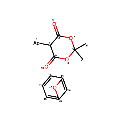 CC(=O)C1C(=O)OC(C)(C)OC1=O.c1cc2cc(c1)O2